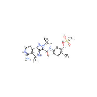 C=C(Nc1cnn2c1C(=O)N(c1ccc(C(F)(F)F)c(COS(C)(=O)=O)c1)C[C@@H]2C)c1cccnc1N